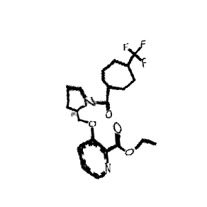 CCOC(=O)c1ncccc1OC[C@H]1CCCN1C(=O)C1CCC(C(F)(F)F)CC1